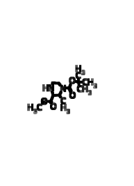 COC(=O)C1NCCN(C(=O)OC(C)(C)C)C1C